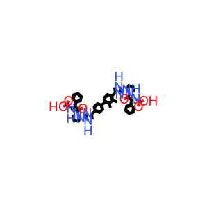 Cc1c(-c2ccc(-c3c[nH]c(N4CCCN4C(=O)[C@H](NC(=O)O)c4ccccc4)n3)cc2)ccc(-c2c[nH]c(N3CCCN3C(=O)[C@H](NC(=O)O)c3ccccc3)n2)c1C